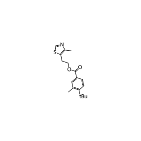 Cc1cc(C(=O)OCCc2scnc2C)ccc1C(C)(C)C